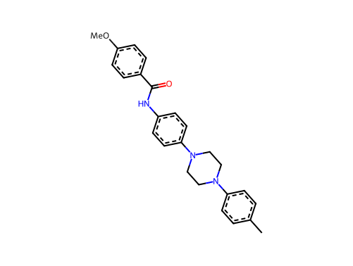 COc1ccc(C(=O)Nc2ccc(N3CCN(c4ccc(C)cc4)CC3)cc2)cc1